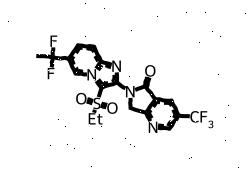 CCS(=O)(=O)c1c(N2Cc3ncc(C(F)(F)F)cc3C2=O)nc2ccc(C(C)(F)F)cn12